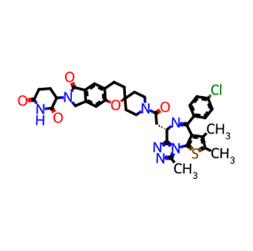 Cc1sc2c(c1C)C(c1ccc(Cl)cc1)=N[C@@H](CC(=O)N1CCC3(CCc4cc5c(cc4O3)CN(C3CCC(=O)NC3=O)C5=O)CC1)c1nnc(C)n1-2